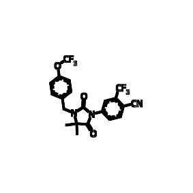 CC1(C)C(=O)N(c2ccc(C#N)c(C(F)(F)F)c2)C(=O)N1Cc1ccc(OC(F)(F)F)cc1